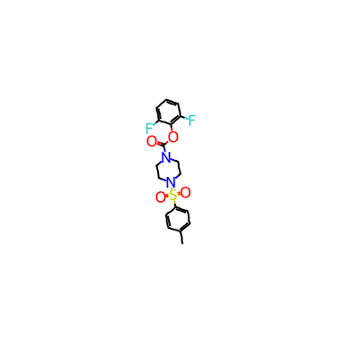 Cc1ccc(S(=O)(=O)N2CCN(C(=O)Oc3c(F)cccc3F)CC2)cc1